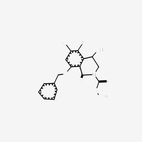 CC1CN(C(=O)OC(C)(C)C)C(=O)c2c(OCc3ccccc3)cc(Br)c(F)c21